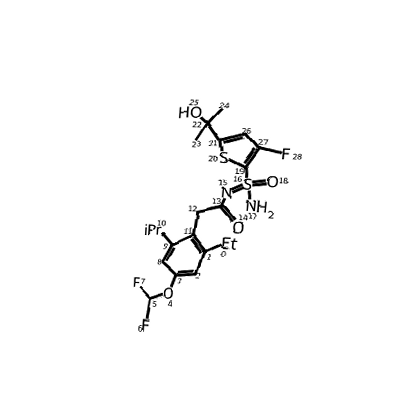 CCc1cc(OC(F)F)cc(C(C)C)c1CC(=O)N=S(N)(=O)c1sc(C(C)(C)O)cc1F